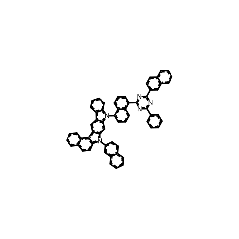 c1ccc(-c2nc(-c3ccc4ccccc4c3)nc(-c3cccc4c(-n5c6ccccc6c6cc7c8c9ccccc9ccc8n(-c8ccc9ccccc9c8)c7cc65)cccc34)n2)cc1